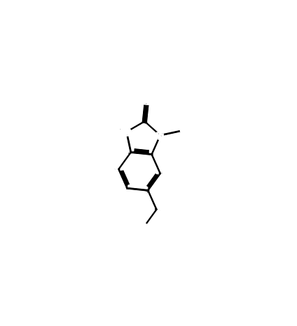 Cn1c(=O)oc2ccc(CBr)cc21